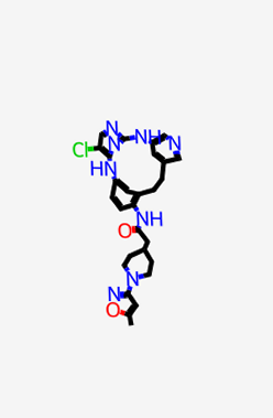 Cc1cc(N2CCC(CC(=O)Nc3ccc4cc3CCc3cncc(c3)Nc3ncc(Cl)c(n3)N4)CC2)no1